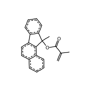 C=C(C)C(=O)OC1(C)c2ccccc2-c2ccc3ccccc3c21